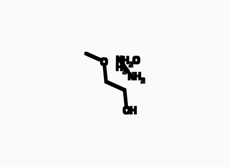 COCCO.NN.O